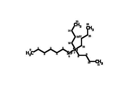 CCCCC[CH2][Sn][Sn]([CH2]CCC)([CH2]CCC)[CH2]CCC